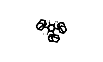 Oc1c(O)c(C23CC4CC(CC(C4)C2)C3)c(C23CC4CC(CC(C4)C2)C3)c(O)c1C12CC3CC(CC(C3)C1)C2